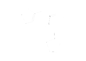 C=C(OC1=CCCC1)C(=O)OC1=CCCC1